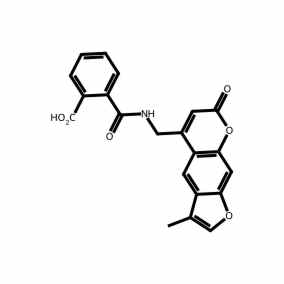 Cc1coc2cc3oc(=O)cc(CNC(=O)c4ccccc4C(=O)O)c3cc12